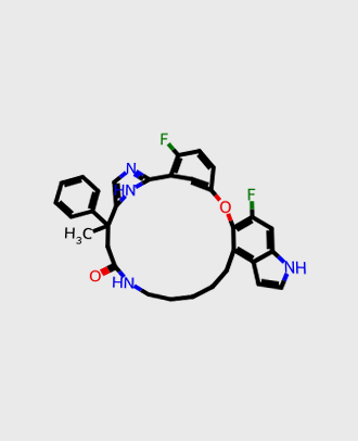 CC1(c2ccccc2)CC(=O)NCCCCCc2c(c(F)cc3[nH]ccc23)Oc2ccc(F)c(c2)-c2ncc1[nH]2